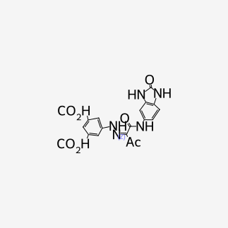 CC(=O)/C(=N/Nc1cc(C(=O)O)cc(C(=O)O)c1)C(=O)Nc1ccc2[nH]c(=O)[nH]c2c1